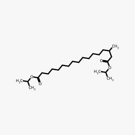 CC(CCCCCCCCCCCCCC(=O)OC(C)C)CC(=O)OC(C)C